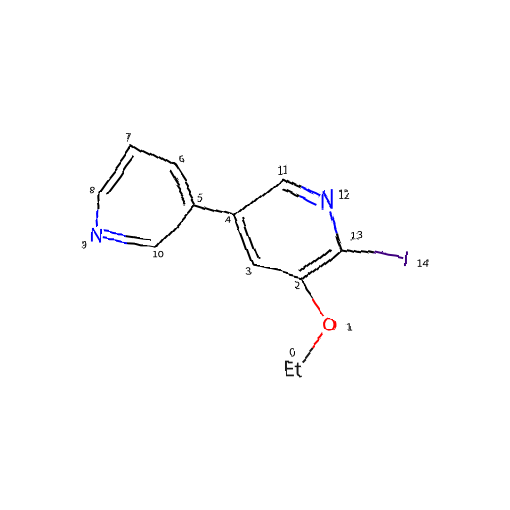 CCOc1cc(-c2cccnc2)cnc1I